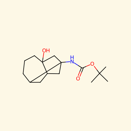 CC(C)(C)OC(=O)NC12CC3CC1CCCC3(O)C2